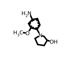 COc1cc(N)ccc1N1CCCC(O)C1